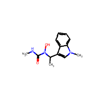 CNC(=O)N(O)C(C)c1cn(C)c2ccccc12